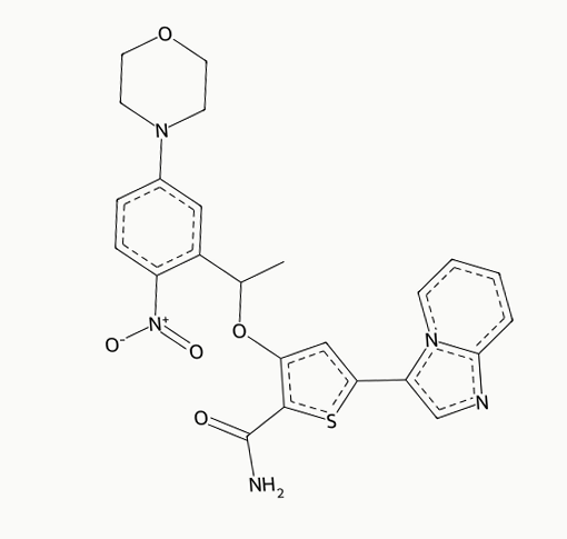 CC(Oc1cc(-c2cnc3ccccn23)sc1C(N)=O)c1cc(N2CCOCC2)ccc1[N+](=O)[O-]